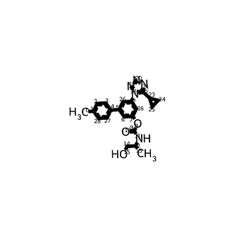 Cc1ccc(-c2cc(OC(=O)NC(C)CO)cc(-n3nnnc3C3CC3)c2)cc1